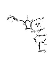 Cc1ccc(P(C)(=O)Nc2cc(C#CC(C)(C)C)sc2C(=O)O)cc1